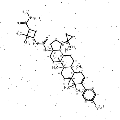 CN(C)C(=O)[C@H]1C[C@@H](NC(=O)N[C@]23CC[C@@H](C4(C)CC4)C2[C@H]2CCC4[C@@]5(C)CC=C(c6ccc(C(=O)O)cc6)C(C)(C)[C@@H]5CC[C@@]4(C)[C@]2(C)CC3)C1(C)C